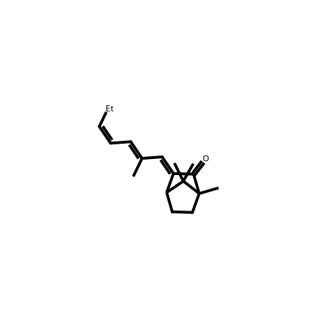 CC\C=C/C=C(C)/C=C1/C(=O)C2(C)CCC1C2(C)C